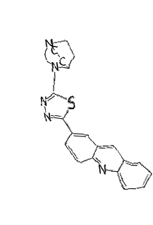 c1ccc2nc3ccc(-c4nnc(N5CCN6CCC5CC6)s4)cc3cc2c1